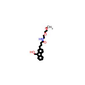 COCCOCCNC(=O)CCCc1ccc2c(c1)C(CO)c1ccccc1-2